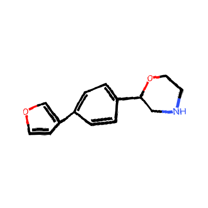 c1cc(-c2ccc(C3CNCCO3)cc2)co1